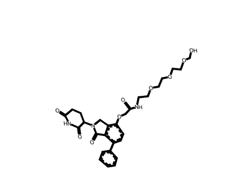 O=C(COc1ccc(-c2ccccc2)c2c1CN(C1CCC(=O)NC1=O)C2=O)NCCOCCOCCOCO